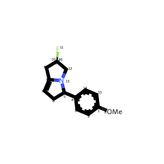 COc1ccc(C2CC=C3C[C@@H](F)CN32)cc1